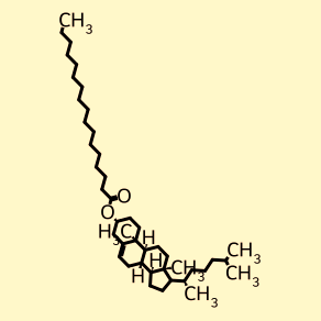 CCCCCCCCCCCCCCCCC(=O)O[C@H]1CC[C@@]2(C)C(=CC[C@@H]3[C@@H]2CC[C@]2(C)C([C@H](C)CCCC(C)C)CC[C@@H]32)C1